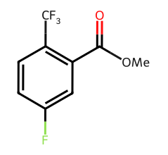 COC(=O)c1cc(F)ccc1C(F)(F)F